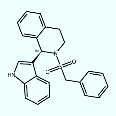 O=S(=O)(Cc1ccccc1)N1CCc2ccccc2[C@@H]1c1c[nH]c2ccccc12